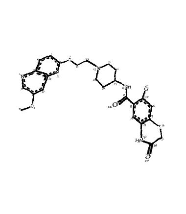 COc1cnc2ccc(OCCN3CCC(NC(=O)c4cc5c(cc4Cl)SCC(=O)N5)CC3)nc2c1